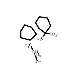 C1CCCCC1.CO.CO.O=C(O)C1(C(=O)O)CCCCC1